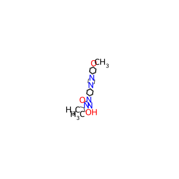 CCC([C@H](C)O)n1ncn(-c2ccc(N3CCN(c4ccc(OC)cc4)CC3)cc2)c1=O